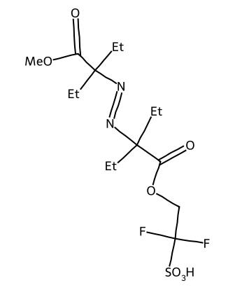 CCC(CC)(N=NC(CC)(CC)C(=O)OCC(F)(F)S(=O)(=O)O)C(=O)OC